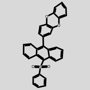 O=S(=O)(c1ccccc1)c1c2ccccc2c(-c2ccc3c(c2)Oc2ccccc2O3)c2ccccc12